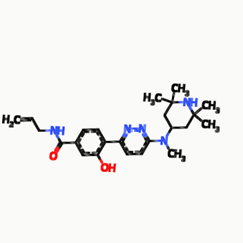 C=CCNC(=O)c1ccc(-c2ccc(N(C)C3CC(C)(C)NC(C)(C)C3)nn2)c(O)c1